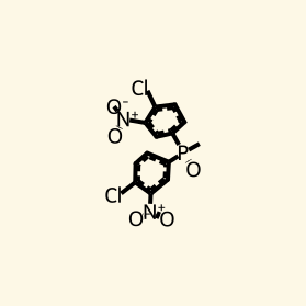 CP(=O)(c1ccc(Cl)c([N+](=O)[O-])c1)c1ccc(Cl)c([N+](=O)[O-])c1